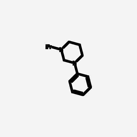 CC(C)N1CCCN(c2ccccc2)C1